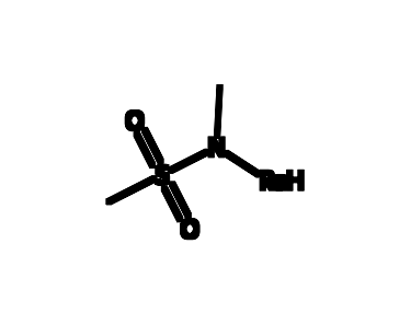 C[N]([RaH])S(C)(=O)=O